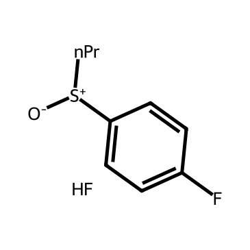 CCC[S+]([O-])c1ccc(F)cc1.F